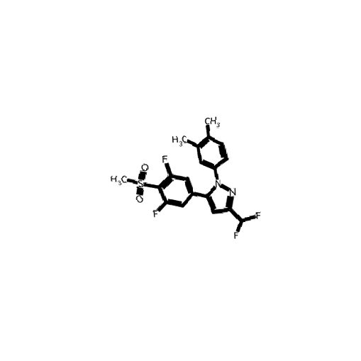 Cc1ccc(-n2nc(C(F)F)cc2-c2cc(F)c(S(C)(=O)=O)c(F)c2)cc1C